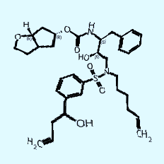 C=CCCCCN(C[C@@H](O)[C@H](Cc1ccccc1)NC(=O)O[C@@H]1CC2CCO[C@@H]2C1)S(=O)(=O)c1cccc(C(O)CC=C)c1